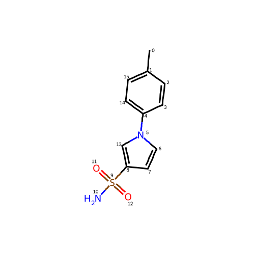 Cc1ccc(-n2ccc(S(N)(=O)=O)c2)cc1